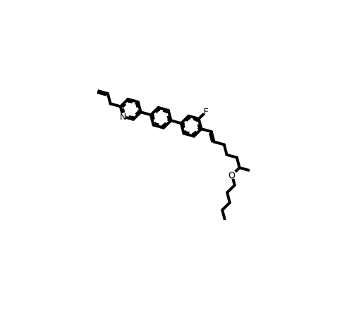 C=CCc1ccc(-c2ccc(-c3ccc(/C=C/CCCC(C)OCCCCC)c(F)c3)cc2)cn1